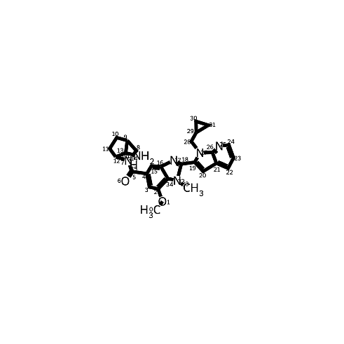 COc1cc(C(=O)N2CC3CCC2[C@@H]3N)cc2nc(-c3cc4cccnc4n3CC3CC3)n(C)c12